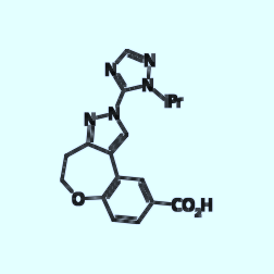 CC(C)n1ncnc1-n1cc2c(n1)CCOc1ccc(C(=O)O)cc1-2